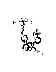 CCC(O)N(CC1(N2CCN(CCOCC(C)(C)F)CC2)CCOCC1)c1cccc(C(F)(F)F)n1